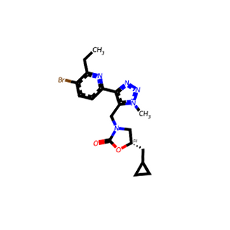 CCc1nc(-c2nnn(C)c2CN2C[C@H](CC3CC3)OC2=O)ccc1Br